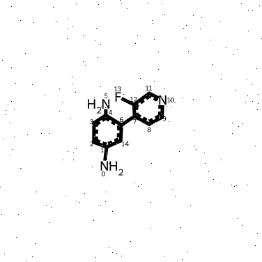 Nc1ccc(N)c(-c2ccncc2F)c1